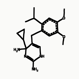 COc1cc(CC2=CNC(N)=NC2(N)C2CC2)c(C(C)C)cc1OC